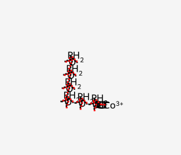 CCCCOc1c(CCCC)cc(P)cc1CCCC.CCCCOc1c(CCCC)cc(P)cc1CCCC.CCCCOc1c(CCCC)cc(P)cc1CCCC.CCCCOc1c(CCCC)cc(P)cc1CCCC.CCCCOc1c(CCCC)cc(P)cc1CCCC.CCCCOc1c(CCCC)cc(P)cc1CCCC.[Cl-].[Cl-].[Cl-].[Cl-].[Co+3]